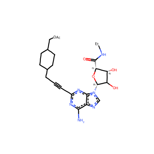 CCNC(=O)[C@H]1O[C@@H](n2cnc3c(N)nc(C#CCC4CCC(COC(C)=O)CC4)nc32)C(O)[C@H]1O